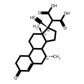 C#C[C@@]1(C(C(=O)O)C(=O)O)CCC2C3C(CC[C@@]21C)C1CCC(=O)C=C1C[C@H]3C